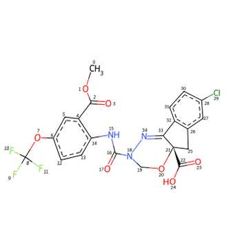 COC(=O)c1cc(OC(F)(F)F)ccc1NC(=O)N1CO[C@@]2(C(=O)O)Cc3cc(Cl)ccc3C2=N1